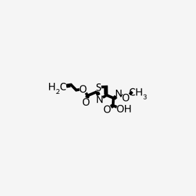 C=CCOC(=O)c1nc(C(=NOC)C(=O)O)cs1